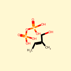 C/C=C(\C)CO.O=P(O)(O)OP(=O)(O)O